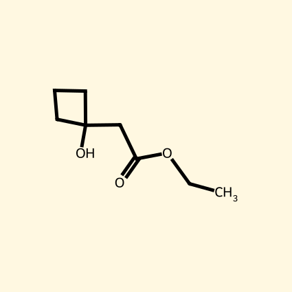 CCOC(=O)CC1(O)CCC1